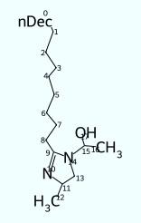 CCCCCCCCCCCCCCCCCCC1=NC(C)CN1C(C)O